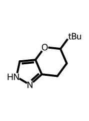 CC(C)(C)C1CCc2n[nH]cc2O1